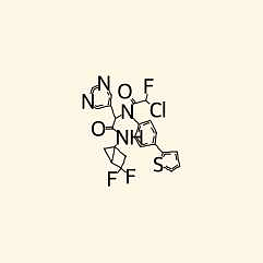 O=C(NC12CC1C(F)(F)C2)C(c1cncnc1)N(C(=O)C(F)Cl)c1ccc(-c2cccs2)cc1